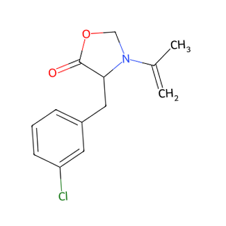 C=C(C)N1COC(=O)C1Cc1cccc(Cl)c1